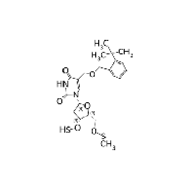 CSOC[C@H]1O[C@@H](n2cc(COCc3ccccc3C(C)(C)C)c(=O)[nH]c2=O)C[C@H]1OS